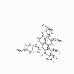 CCN1C(N)C2=C(C(c3ccc(F)cc3)N(Cc3ccc(OC)cc3)CC2)N(c2ccc(-n3cnc(Cl)c3)c(OC)c2)C1N